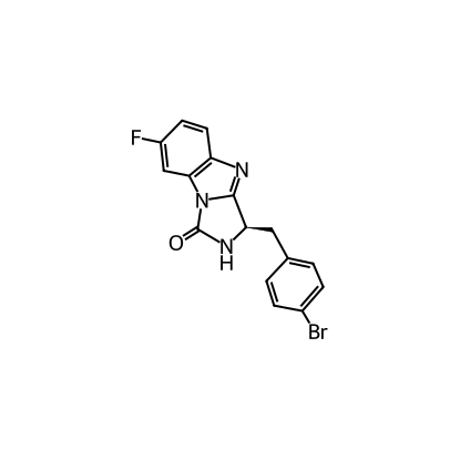 O=C1N[C@H](Cc2ccc(Br)cc2)c2nc3ccc(F)cc3n21